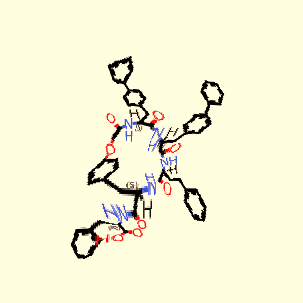 O=C1COc2ccc(cc2)C[C@@H](C(=O)N[C@H](Cc2ccccc2)C(=O)O)NC(=O)[C@H](CCc2ccccc2)NC(=O)[C@@H](Cc2ccc(-c3ccccc3)cc2)NC(=O)[C@H](Cc2ccc(-c3ccccc3)cc2)N1